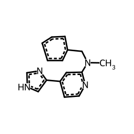 CN(Cc1ccccc1)c1cc(-c2c[nH]cn2)ccn1